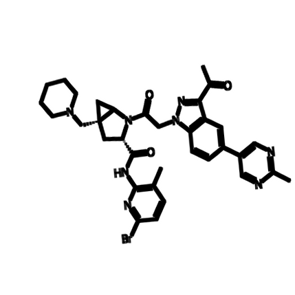 CC(=O)c1nn(CC(=O)N2C3C[C@]3(CN3CCCCC3)C[C@H]2C(=O)Nc2nc(Br)ccc2C)c2ccc(-c3cnc(C)nc3)cc12